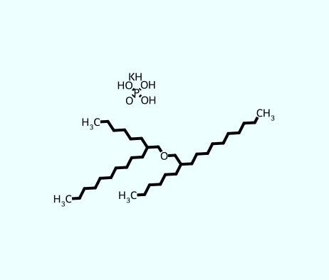 CCCCCCCCCCC(CCCCCC)COCC(CCCCCC)CCCCCCCCCC.O=P(O)(O)O.[KH]